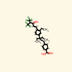 CCc1cc(C(CC)(CC)CCc2ccc(C(O)O)cc2)ccc1C=CC(O)C(C(F)(F)F)C(F)(F)F